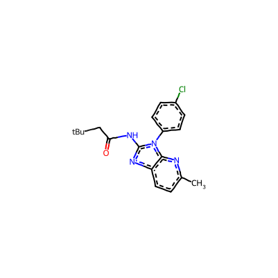 Cc1ccc2nc(NC(=O)CC(C)(C)C)n(-c3ccc(Cl)cc3)c2n1